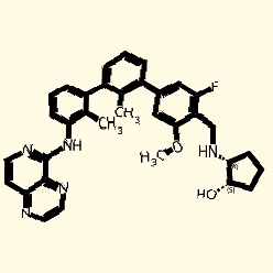 COc1cc(-c2cccc(-c3cccc(Nc4nccc5nccnc45)c3C)c2C)cc(F)c1CN[C@@H]1CCC[C@@H]1O